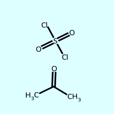 CC(C)=O.O=S(=O)(Cl)Cl